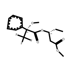 CC[C@H](CC(=O)OC)OC(=O)[C@](OC)(c1ccccc1)C(F)(F)F